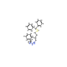 NCC(CCSC(c1ccccc1)c1ccccc1)c1ccccc1C(F)(F)F